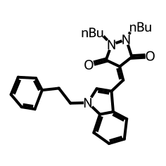 CCCCN1C(=O)C(=Cc2cn(CCc3ccccc3)c3ccccc23)C(=O)N1CCCC